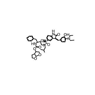 CCN(CC)c1ccc(/C=C2\C(=O)Nc3ccc(S(=O)(=O)N(CC(C)C)CC(O)C(Cc4ccccc4)NC(=O)OC4COC5OCCC45)cc32)cc1O